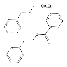 CCOC(=O)CCCc1ccccc1.O=C(OCCc1ccccc1)c1ccccc1